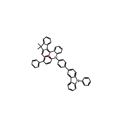 CC1(C)c2ccccc2-c2c(-c3ccccc3N(c3ccc(-c4ccccc4)cc3)c3ccc(-c4ccc5c(c4)c4ccccc4n5-c4ccccc4)cc3)cccc21